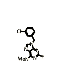 CNc1nc(F)nc2c1ncn2Cc1cccc(Cl)c1